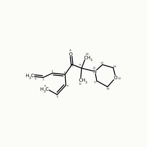 C=C/C=C(\C=C/C)C(=O)C(C)(C)N1CCOCC1